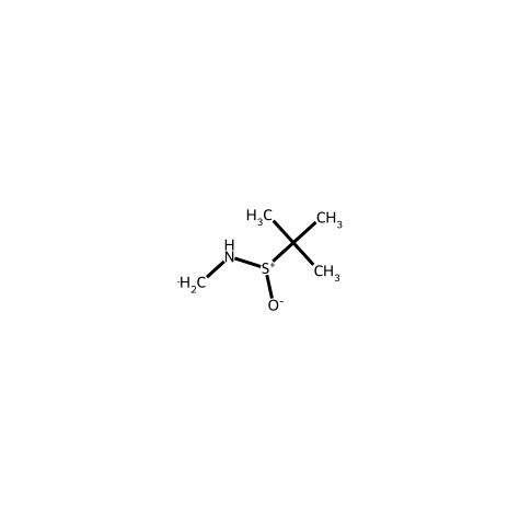 [CH2]N[S+]([O-])C(C)(C)C